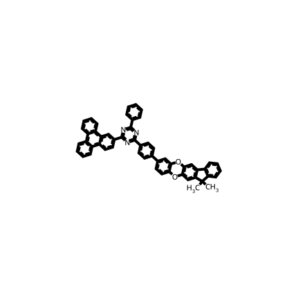 CC1(C)c2ccccc2-c2cc3c(cc21)Oc1ccc(-c2ccc(-c4nc(-c5ccccc5)nc(-c5ccc6c7ccccc7c7ccccc7c6c5)n4)cc2)cc1O3